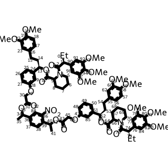 CC[C@H](C(=O)N1CCCCC1C(=O)O[C@H](CCc1ccc(OC)c(OC)c1)c1cccc(OCC(=O)OC(C)c2ccc(C(C)OC(=O)COc3cccc([C@@H](CCc4ccc(OC)c(OC)c4)OC(=O)C4CCCCN4C(=O)[C@@H](CC)c4cc(OC)c(OC)c(OC)c4)c3)c([N+](=O)[O-])c2)c1)c1cc(OC)c(OC)c(OC)c1